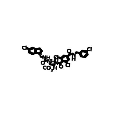 O=C(NC[C@@H]1CCc2cc(Cl)ccc21)NC[C@H](NC(=O)c1c(Cl)cc(C(=O)NCc2cccc(Cl)c2)cc1Cl)C(=O)O